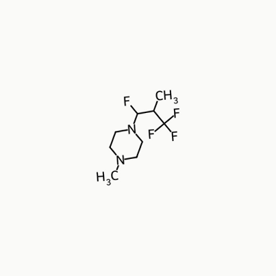 CC(C(F)N1CCN(C)CC1)C(F)(F)F